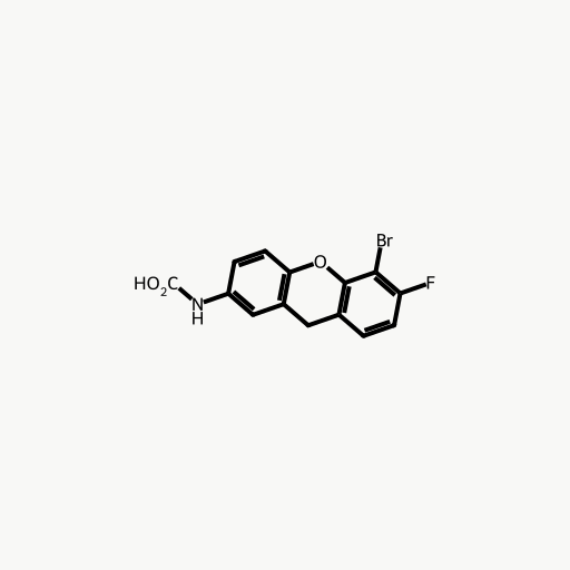 O=C(O)Nc1ccc2c(c1)Cc1ccc(F)c(Br)c1O2